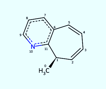 C[C@@H]1C=CC=Cc2cccnc21